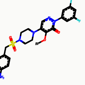 CCOc1c(N2CCN(S(=O)(=O)Cc3ccc(N)cc3)CC2)cnn(-c2cc(F)cc(F)c2)c1=O